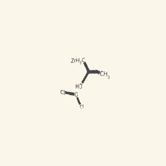 CC(C)O.ClOCl.[Zr]